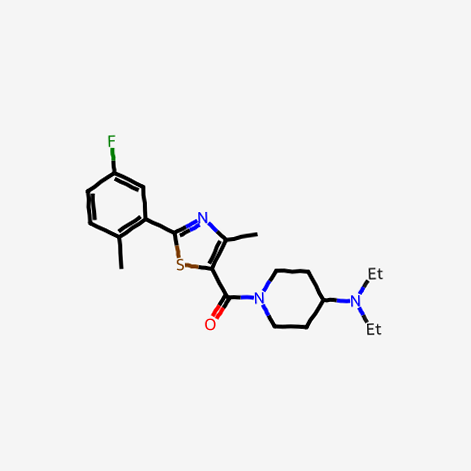 CCN(CC)C1CCN(C(=O)c2sc(-c3cc(F)ccc3C)nc2C)CC1